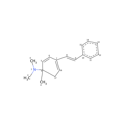 CN(C)C1(C)C=CC(C=Cc2ccccc2)=CC1